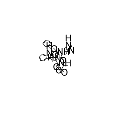 COC(=O)C(C)NC(=O)[C@@H](Cc1c[nH]c2ccccc12)NC(=O)C(Cc1c[nH]cn1)NC(=O)OCc1ccccc1